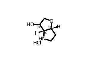 Cl.O[C@H]1CO[C@@H]2CCN[C@H]12